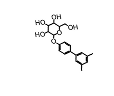 Cc1cc(C)cc(-c2ccc(OC3OC(CO)C(O)C(O)C3O)cc2)c1